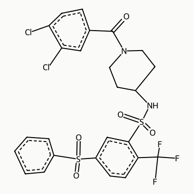 O=C(c1ccc(Cl)c(Cl)c1)N1CCC(NS(=O)(=O)c2cc(S(=O)(=O)c3ccccc3)ccc2C(F)(F)F)CC1